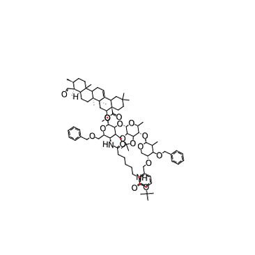 COC1C[C@]2(C)C(=CCC3C4(C)CC[C@H](C)[C@](C)(C=O)[C@@H]4CC[C@@]32C)C2CC(C)(C)CC[C@]12C(=O)O[C@@H]1OC(COCc2ccccc2)[C@H](NC(=O)CCCCCNC(=O)OC(C)(C)C)C(C)C1O[C@@H]1OC(C)[C@H](O[C@@H]2OC[C@@H](OCc3ccccc3)C(OCc3ccccc3)C2C)C2OC(C)(C)OC21